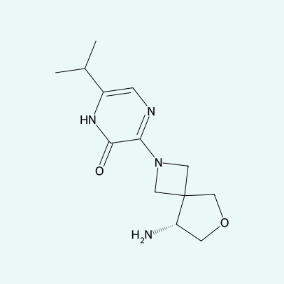 CC(C)c1cnc(N2CC3(COC[C@@H]3N)C2)c(=O)[nH]1